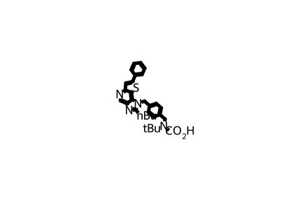 CCCCc1nc2cnc3cc(-c4ccccc4)sc3c2n1Cc1ccc(CN(C(=O)O)C(C)(C)C)cc1